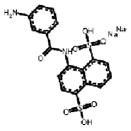 Nc1cccc(C(=O)Nc2ccc(S(=O)(=O)O)c3cccc(S(=O)(=O)O)c23)c1.[Na].[Na]